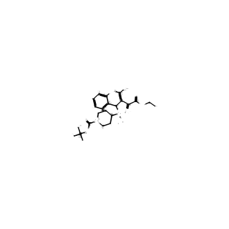 CCOC(=O)C1=N[N+](S)(C2CCN(C(=O)OC(C)(C)C)CC2)C2C1=C(S)Oc1ccccc12